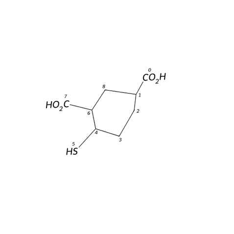 O=C(O)C1CCC(S)C(C(=O)O)C1